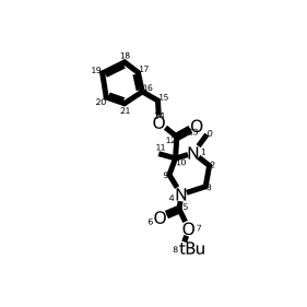 CN1CCN(C(=O)OC(C)(C)C)CC1(C)C(=O)OCc1ccccc1